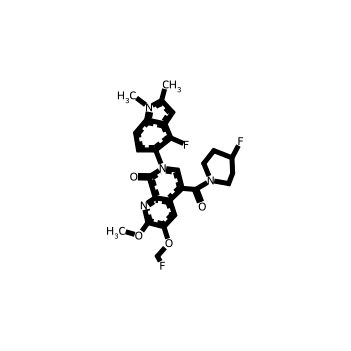 COc1nc2c(=O)n(-c3ccc4c(cc(C)n4C)c3F)cc(C(=O)N3CCC(F)CC3)c2cc1OCF